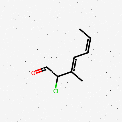 C/C=C\C=C(/C)C(Cl)C=O